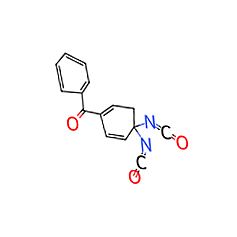 O=C=NC1(N=C=O)C=CC(C(=O)c2ccccc2)=CC1